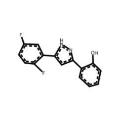 Oc1ccccc1-c1cc(-c2cc(F)ccc2F)[nH]n1